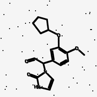 COc1ccc(C(C=O)n2cc[nH]c2=O)cc1OC1CCCC1